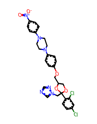 O=[N+]([O-])c1ccc(N2CCN(c3ccc(OCC4COC(Cn5cncn5)(c5ccc(Cl)cc5Cl)O4)cc3)CC2)cc1